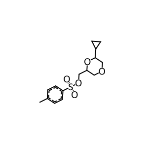 Cc1ccc(S(=O)(=O)OCC2COCC(C3CC3)O2)cc1